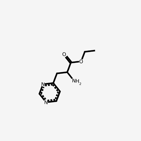 CCOC(=O)C(N)Cc1ccncn1